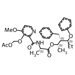 CC[C@H](Oc1ccccc1)[C@@H](Cc1ccccc1)[C@H](C)OC(=O)[C@H](C)NC(=O)c1nccc(OC)c1OCOC(C)=O